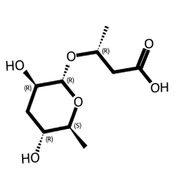 C[C@H](CC(=O)O)O[C@@H]1O[C@@H](C)[C@H](O)C[C@H]1O